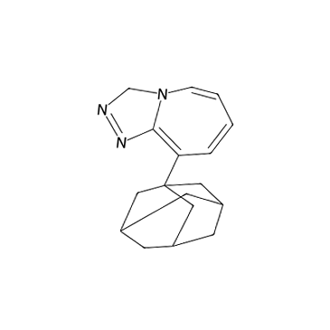 C1=CC(C23CC4CC(CC(C4)C2)C3)=C2N=NCN2C=C1